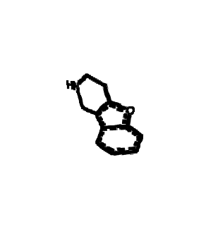 c1ccc2c3c(oc2c1)CCNC3